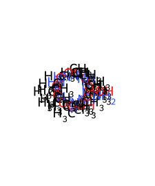 C/C=C/C[C@@H](C)[C@@H](O)[C@@H]1C(=O)N[C@H](CC)C(=O)N(C)[C@H](CSC(C)(C)[C@@H](N)C(=O)O)C(=O)N(C)[C@@H](CC(C)C)C(=O)N[C@H](C(C)C)C(=O)N(C)[C@H](CC(C)C)C(=O)N[C@H](C)C(=O)N[C@@H](C)C(=O)N(C)[C@H](CC(C)C)C(=O)N(C)[C@H](CC(C)C)C(=O)N(C)[C@H](C(C)C)C(=O)N1C